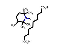 CC1CCC(C)(C)N(C)C1(C)C.O=C(O)CCCCCCCCC(=O)O